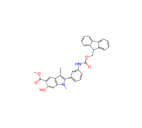 COC(=O)c1cc2c(I)c(-c3cccc(NC(=O)OCC4c5ccccc5-c5ccccc54)c3)n(C)c2cc1O